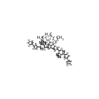 CCCCC(CC)CC1(CC(CC)CCCC)c2cc(-c3cnc(-c4ccc(-c5cccs5)s4)c4nsnc34)sc2-c2sc(-c3cnc(-c4ccc(-c5cccs5)s4)c4nsnc34)cc21